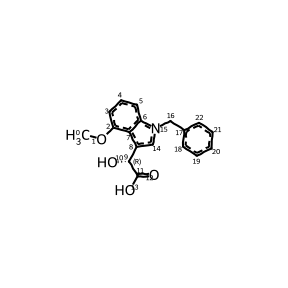 COc1cccc2c1c([C@@H](O)C(=O)O)cn2Cc1ccccc1